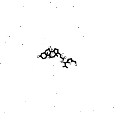 CC(C)C(NC(=O)C[C@@H](C)C1CC[C@H]2C3C(=O)CC4CC(=O)CCC4(C)[C@H]3CCC12C)c1ccc(C=O)s1